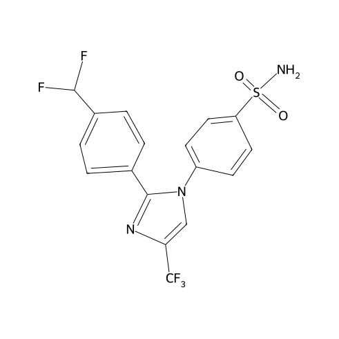 NS(=O)(=O)c1ccc(-n2cc(C(F)(F)F)nc2-c2ccc(C(F)F)cc2)cc1